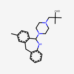 Cc1ccc2c(c1)Cc1ccccc1NC2N1CCN(CC(C)(C)C=O)CC1